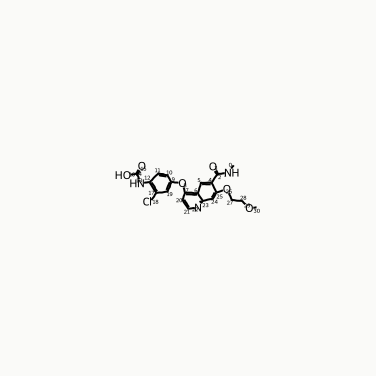 CNC(=O)c1cc2c(Oc3ccc(NC(=O)O)c(Cl)c3)ccnc2cc1OCCOC